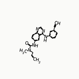 C#Cc1cccc(Nc2ncnc3ccc(NC(=O)N(C)CC=C)cc23)c1